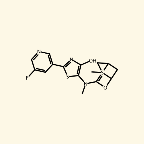 CN(C1=S23(C)CC2CC3O1)c1sc(-c2cncc(F)c2)nc1O